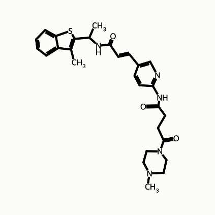 Cc1c(C(C)NC(=O)/C=C/c2ccc(NC(=O)CCC(=O)N3CCN(C)CC3)nc2)sc2ccccc12